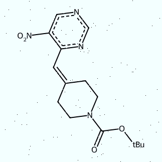 CC(C)(C)OC(=O)N1CCC(=Cc2ncncc2[N+](=O)[O-])CC1